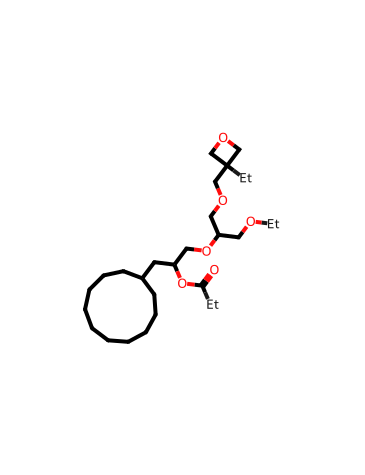 CCOCC(COCC1(CC)COC1)OCC(CC1CCCCCCCCCC1)OC(=O)CC